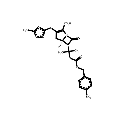 Cc1nnc(SC2=C(C(=O)O)N3C(=O)[C@@H](C(C)(C)OC(=O)OCc4ccc([N+](=O)[O-])cc4)[C@H]3C2)s1